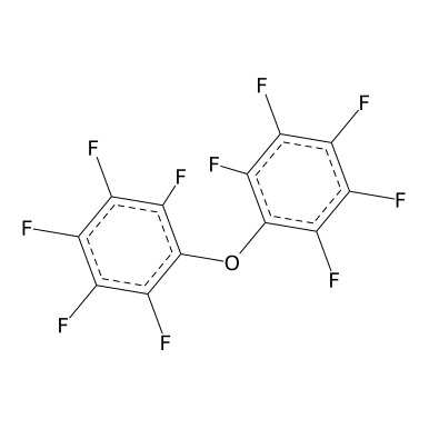 Fc1c(F)c(F)c(Oc2c(F)c(F)c(F)c(F)c2F)c(F)c1F